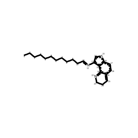 CCCCCCCCCCCC=Nc1csc2ccc3c(c12)=NCCC=3